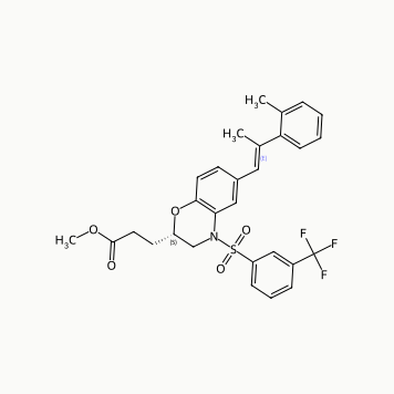 COC(=O)CC[C@H]1CN(S(=O)(=O)c2cccc(C(F)(F)F)c2)c2cc(/C=C(\C)c3ccccc3C)ccc2O1